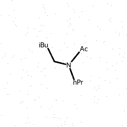 CCCN(CC(C)CC)C(C)=O